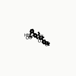 CCCc1nc(C)c(-c2ccc3c(c2)CC(C)(C)O3)c(=O)n1Cc1ccc(-c2ccccc2-c2noc(=O)[nH]2)cc1